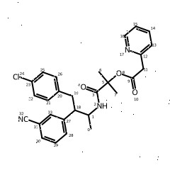 CC(NC(=O)C(C)(C)OC(=O)Cc1ccccn1)C(Cc1ccc(Cl)cc1)c1cccc(C#N)c1